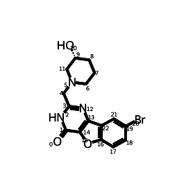 O=c1[nH]c(CN2CCC[C@@H](O)C2)nc2c1oc1ccc(Br)cc12